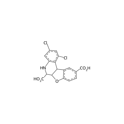 O=C(O)c1ccc2c(c1)C1c3c(Cl)cc(Cl)cc3NC(C(=O)O)C1O2